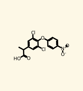 CC(C(=O)O)c1cc(Cl)c(Oc2ccc([N+](=O)[O-])cc2)c(Cl)c1